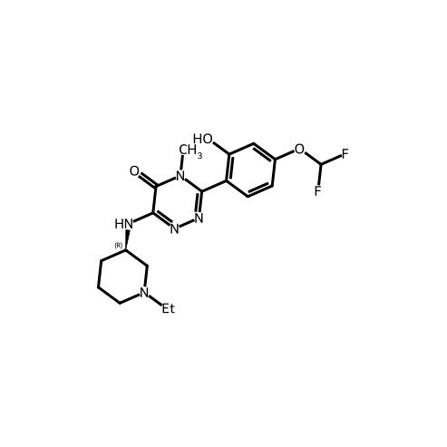 CCN1CCC[C@@H](Nc2nnc(-c3ccc(OC(F)F)cc3O)n(C)c2=O)C1